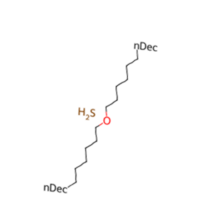 CCCCCCCCCCCCCCCCOCCCCCCCCCCCCCCCC.S